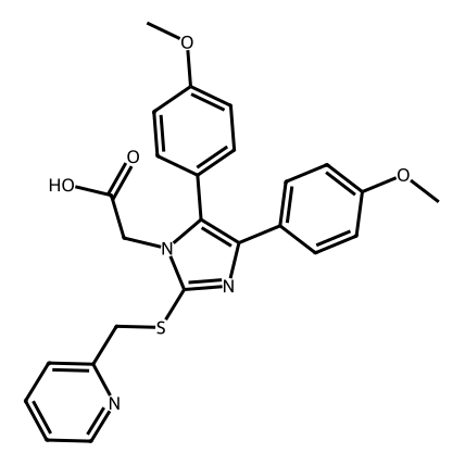 COc1ccc(-c2nc(SCc3ccccn3)n(CC(=O)O)c2-c2ccc(OC)cc2)cc1